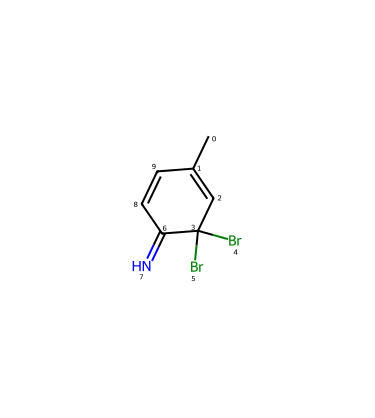 CC1=CC(Br)(Br)C(=N)C=C1